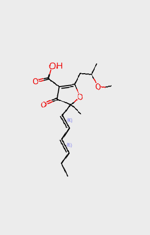 CC/C=C/C=C/C1(C)OC(CC(C)OC)=C(C(=O)O)C1=O